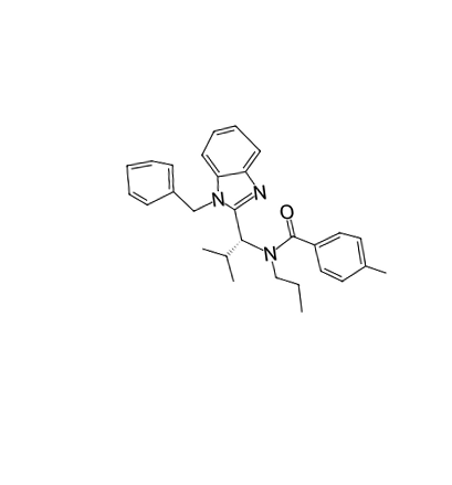 CCCN(C(=O)c1ccc(C)cc1)[C@@H](c1nc2ccccc2n1Cc1ccccc1)C(C)C